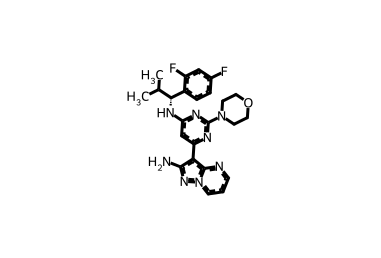 CC(C)[C@@H](Nc1cc(-c2c(N)nn3cccnc23)nc(N2CCOCC2)n1)c1ccc(F)cc1F